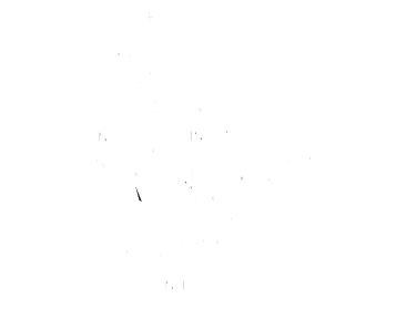 CNC(=O)C(=O)[C@H](C[C@@H]1C[C@@H](C)NC1=O)NC(=O)c1cc(Cl)ccc1NC(=O)OC1CC1(F)F